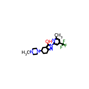 Cc1cc(C(F)(F)F)cc(-n2nc3c(c2O)CC(N2CCN(C)CC2)CC3)n1